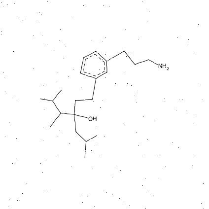 CC(C)CC(O)(CCc1cccc(CCCN)c1)C(C)C(C)C